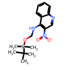 CC(C)(C)[Si](C)(C)OCNc1c([N+](=O)[O-])cnc2ccccc12